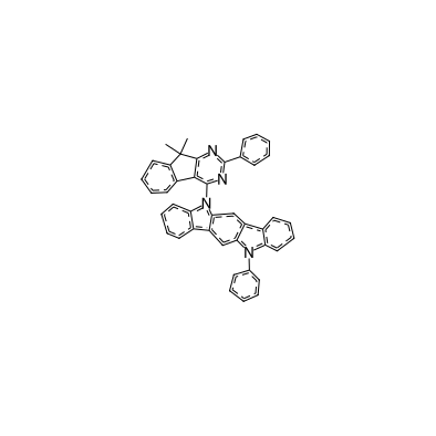 CC1(C)c2ccccc2-c2c(-n3c4ccccc4c4cc5c(cc43)c3ccccc3n5-c3ccccc3)nc(-c3ccccc3)nc21